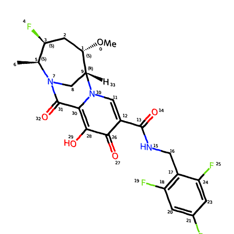 CO[C@H]1C[C@H](F)[C@H](C)N2C[C@H]1n1cc(C(=O)NCc3c(F)cc(F)cc3F)c(=O)c(O)c1C2=O